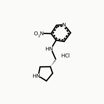 Cl.O=[N+]([O-])c1cnccc1NC[C@@H]1CCNC1